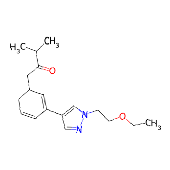 CCOCCn1cc(C2=CC(CC(=O)C(C)C)CC=C2)cn1